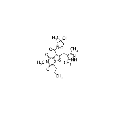 CCCn1c(=O)n(C)c(=O)c2c(C(=O)N3CC(C)(O)CO3)c(Cc3c(C)n[nH]c3C)sc21